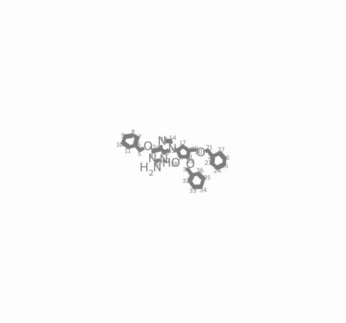 Nc1nc(OCc2ccccc2)c2ncn(C3CC(COCc4ccccc4)C(OCc4ccccc4)C3O)c2n1